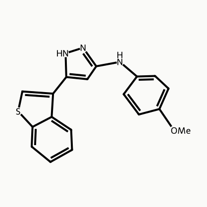 COc1ccc(Nc2cc(-c3csc4ccccc34)[nH]n2)cc1